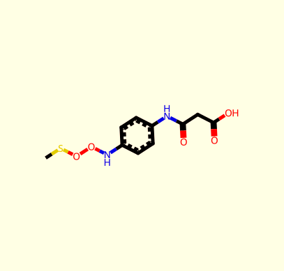 CSOONc1ccc(NC(=O)CC(=O)O)cc1